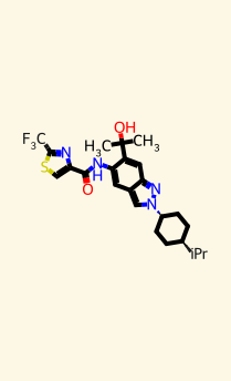 CC(C)[C@H]1CC[C@H](n2cc3cc(NC(=O)c4csc(C(F)(F)F)n4)c(C(C)(C)O)cc3n2)CC1